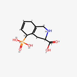 O=C(O)C1CC2=C(CC=CC2P(=O)(O)O)CN1